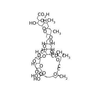 C=C1CC2CC[C@@]34OC5C6OC(O)(C(O3)C6OC3CCC(CC(=O)OC6[C@H](C[C@H]7OC(CCC1O2)C[C@@H](C)C7=C)O[C@H]1C[C@H]2O[C@@]7(CC8O[C@@]9(C[C@H](C)C8O7)C[C@H](C)[C@@H]7OC(CC(=O)O)[C@H](O)CC7O9)C[C@H]2O[C@H]1[C@@H]6C)O[C@@H]35)C4O